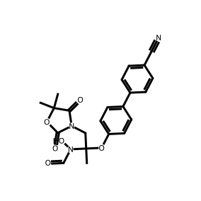 CC1(C)OC(=O)N(CC(C)(Oc2ccc(-c3ccc(C#N)cc3)cc2)N(O)C=O)C1=O